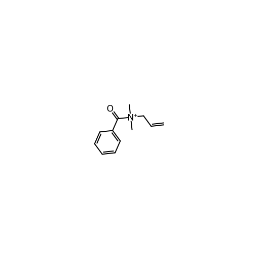 C=CC[N+](C)(C)C(=O)c1ccccc1